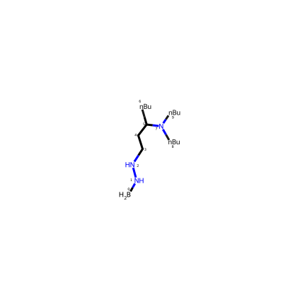 BNNCCC(CCCC)N(CCCC)CCCC